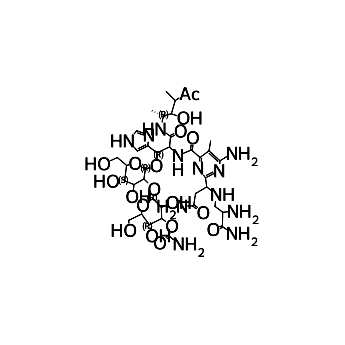 CC(=O)C(C)C(O)[C@@H](C)NC(=O)C(NC(=O)c1nc(C(CC(N)=O)NCC(N)C(N)=O)nc(N)c1C)[C@@H](O[C@@H]1OC(CO)[C@@H](O)C(O)C1O[C@H]1OC(CO)[C@@H](O)C(OC(N)=O)C1O)c1c[nH]cn1